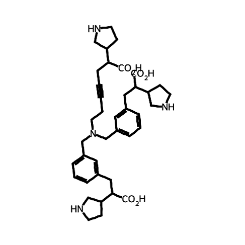 O=C(O)C(CC#CCCN(Cc1cccc(CC(C(=O)O)C2CCNC2)c1)Cc1cccc(CC(C(=O)O)C2CCNC2)c1)C1CCNC1